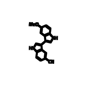 COc1ccc2[nH]cc(-c3c[nH]c4ccc(C#N)cc34)c2c1